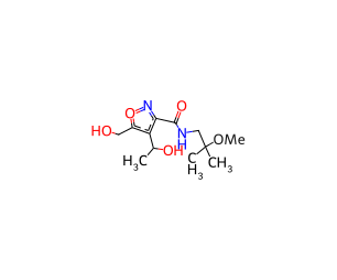 COC(C)(C)CNC(=O)c1noc(CO)c1C(C)O